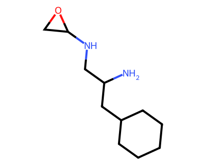 NC(CNC1CO1)CC1CCCCC1